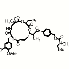 COc1ccc(C[C@H]2NC(=O)/C=C/C[C@@H]([C@H](C)[C@@H]3O[C@H]3c3ccc(COC(=O)N(C)CC(C)(C)C)cc3)OC(=O)[C@H](CC(C)C)OC(=O)C(C)(C)CNC2=O)cc1Cl